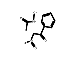 CC(=O)NO.O=C(C[N+](=O)[O-])c1ccccc1